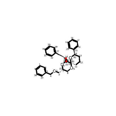 c1ccc(COC[C@H]2CO[C@@]3(CCC[C@H](c4ccccc4)O3)[C@@]3(CCC[C@H](c4ccccc4)O3)O2)cc1